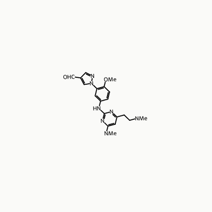 CNCCc1cc(NC)nc(Nc2ccc(OC)c(-n3cc(C=O)cn3)c2)n1